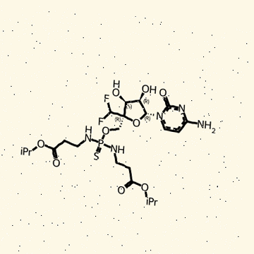 CC(C)OC(=O)CCNP(=S)(NCCC(=O)OC(C)C)OC[C@@]1(C(F)F)O[C@@H](n2ccc(N)nc2=O)[C@H](O)[C@@H]1O